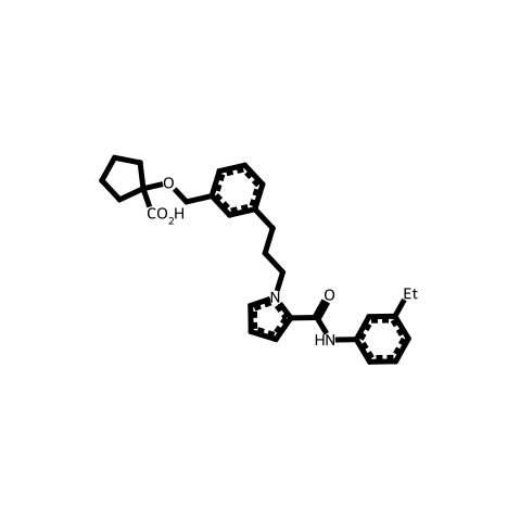 CCc1cccc(NC(=O)c2cccn2CCCc2cccc(COC3(C(=O)O)CCCC3)c2)c1